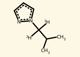 [2H]C([2H])(C(C)C)n1cccn1